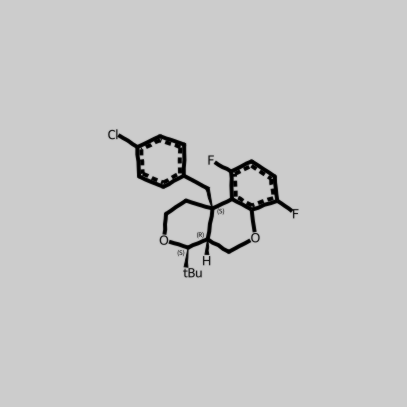 CC(C)(C)[C@H]1OCC[C@]2(Cc3ccc(Cl)cc3)c3c(F)ccc(F)c3OC[C@H]12